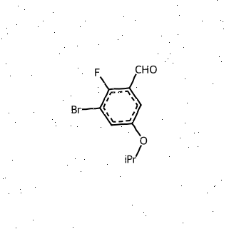 CC(C)Oc1cc(Br)c(F)c(C=O)c1